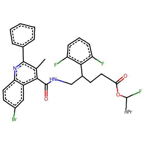 CCCC(F)OC(=O)CCC(CNC(=O)c1c(C)c(-c2ccccc2)nc2ccc(Br)cc12)c1c(F)cccc1F